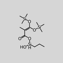 CCC[SiH](O)OC(=O)C(C)=C(O[Si](C)(C)C)O[Si](C)(C)C